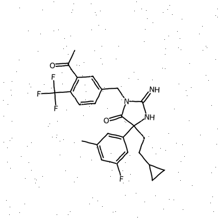 CC(=O)c1cc(CN2C(=N)NC(CCC3CC3)(c3cc(C)cc(F)c3)C2=O)ccc1C(F)(F)F